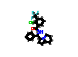 O=C(NC(c1ccccc1)C1CCC2CCCCN21)c1cccc(C(F)(F)F)c1Cl